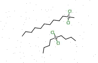 CCCCCCCCCC[Si](C)(Cl)Cl.CCCC[Si](Cl)(Cl)CCCC